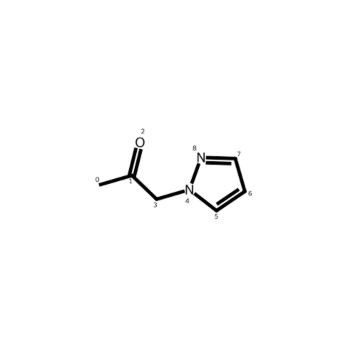 CC(=O)[CH]n1cccn1